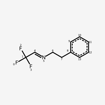 FC(F)(F)C=NCCc1ccccc1